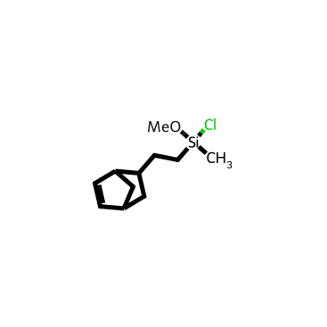 CO[Si](C)(Cl)CCC1CC2C=CC1C2